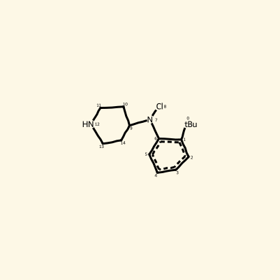 CC(C)(C)c1ccccc1N(Cl)C1CCNCC1